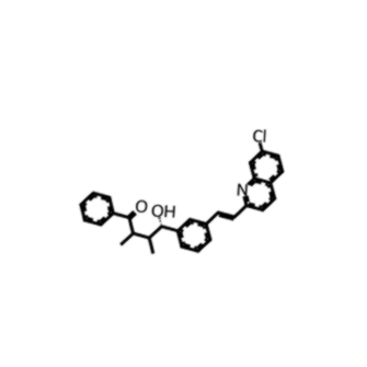 CC(C(=O)c1ccccc1)C(C)[C@H](O)c1cccc(C=Cc2ccc3ccc(Cl)cc3n2)c1